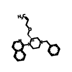 C=CCOC[C@@H]1CN(Cc2ccccc2)CCN1c1nccc2ccccc12